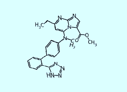 CCc1cc(N(C)c2ccc(-c3ccccc3-c3nnn[nH]3)cc2)n2c(C(=O)OC)cnc2n1